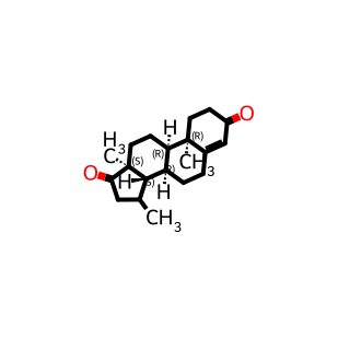 CC1CC(=O)[C@@]2(C)CC[C@@H]3[C@@H](CCC4=CC(=O)CC[C@@]43C)[C@H]12